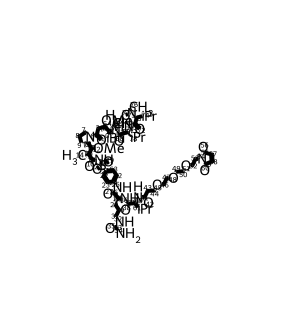 CCC(C)C([C@@H](CC(=O)N1CCC[C@H]1[C@H](OC)[C@@H](C)C(=O)NS(=O)(=O)c1ccc(NC(=O)[C@H](CCCNC(N)=O)NC(=O)C(NC(=O)CCOCCOCCOCCN2C(=O)C=CC2=O)C(C)C)cc1)OC)N(C)C(=O)[C@@H](NC(=O)C(C(C)C)N(C)C)C(C)C